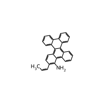 C/C=C\c1ccc2c(c1N)c1ccccc1c1c3ccccc3c3ccccc3c21